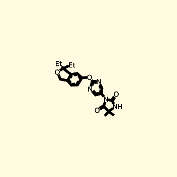 CCC1(CC)OCc2ccc(Oc3ncc(N4C(=O)NC(C)(C)C4=O)cn3)cc21